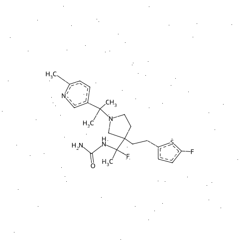 Cc1ccc(C(C)(C)N2CCC(CCc3ccc(F)s3)(C(C)(F)NC(N)=O)C2)cn1